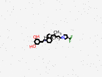 C[C@H](CCCN1CC[C@@H](C(F)F)C1)[C@H]1CC[C@H]2/C(=C/C=C3C[C@@H](O)C[C@H](O)C3)CCC[C@]12C